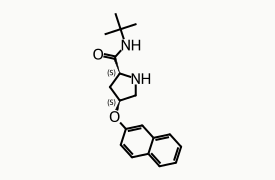 CC(C)(C)NC(=O)[C@@H]1C[C@H](Oc2ccc3ccccc3c2)CN1